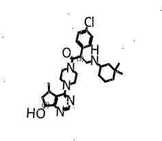 CC1C[C@@H](O)c2ncnc(N3CCN(C(=O)[C@H](CNC4CCCC(C)(C)C4)c4ccc(Cl)cc4)CC3)c21